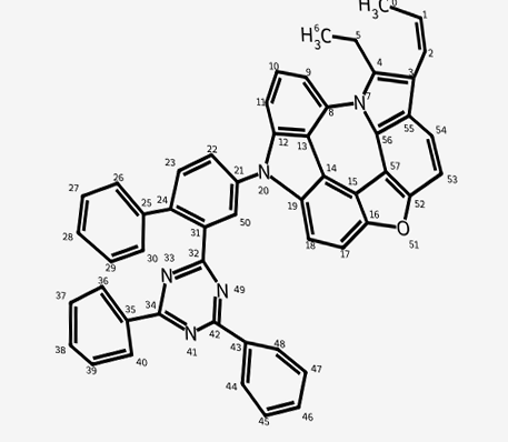 C/C=C\c1c(CC)n2c3cccc4c3c3c5c(ccc3n4-c3ccc(-c4ccccc4)c(-c4nc(-c6ccccc6)nc(-c6ccccc6)n4)c3)oc3ccc1c2c35